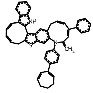 C=C1/C=C(c2ccccc2)\C=C/Cc2cc3c4c(sc3cc2N1c1ccc(C2=CCCCC=C2)cc1)C/C=C\C=C/c1c-4[nH]c2ccccc12